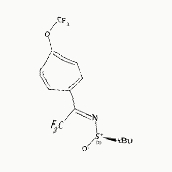 CC(C)(C)[S@@+]([O-])N=C(c1ccc(OC(F)(F)F)cc1)C(F)(F)F